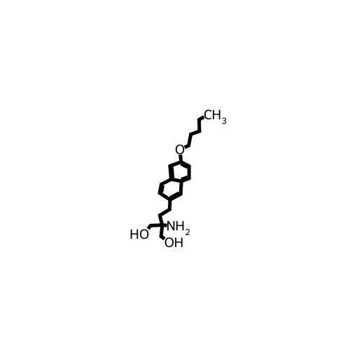 CCCCCOc1ccc2cc(CCC(N)(CO)CO)ccc2c1